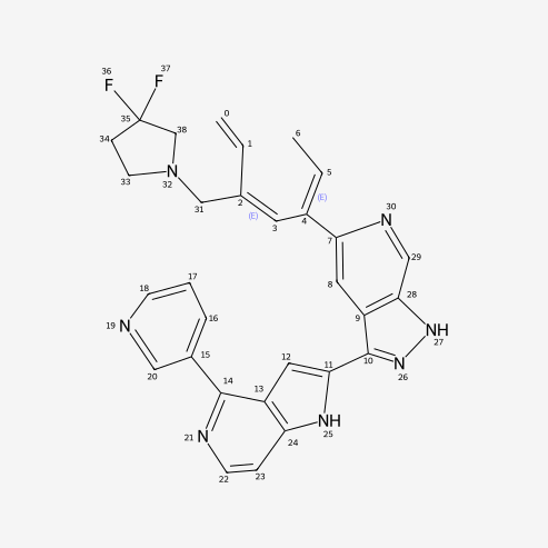 C=C/C(=C\C(=C/C)c1cc2c(-c3cc4c(-c5cccnc5)nccc4[nH]3)n[nH]c2cn1)CN1CCC(F)(F)C1